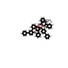 C=Cc1c(/C=C\C)n(-c2cc(-c3ccccc3)ccc2-c2nc(-c3ccccc3)nc(-c3cccc(-c4cc(-c5ccccc5)ccc4-n4c5ccccc5c5ccccc54)c3)n2)c2ccccc12